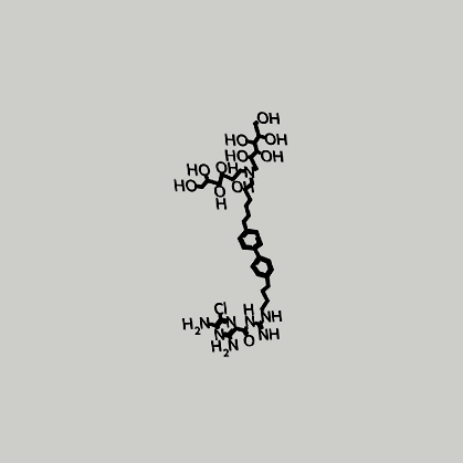 N=C(NCCCCc1ccc(-c2ccc(CCCCCCN(CC(O)C(O)C(O)C(O)CO)CC(O)C(O)C(O)C(O)CO)cc2)cc1)NC(=O)c1nc(Cl)c(N)nc1N